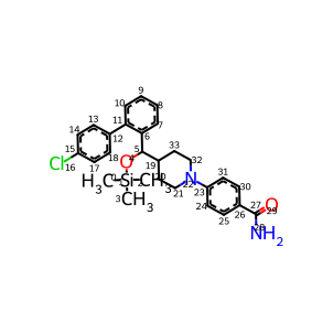 C[Si](C)(C)OC(c1ccccc1-c1ccc(Cl)cc1)C1CCN(c2ccc(C(N)=O)cc2)CC1